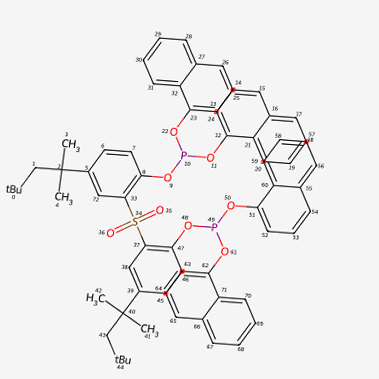 CC(C)(C)CC(C)(C)c1ccc(OP(Oc2cccc3ccccc23)Oc2cccc3ccccc23)c(S(=O)(=O)c2cc(C(C)(C)CC(C)(C)C)ccc2OP(Oc2cccc3ccccc23)Oc2cccc3ccccc23)c1